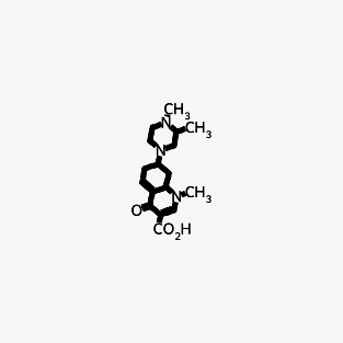 CC1CN(C2CC=C3C(=O)C(C(=O)O)=CN(C)C3C2)CCN1C